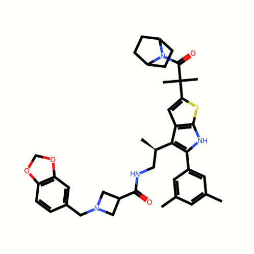 Cc1cc(C)cc(-c2[nH]c3sc(C(C)(C)C(=O)N4C5CCC4CC5)cc3c2[C@H](C)CNC(=O)C2CN(Cc3ccc4c(c3)OCO4)C2)c1